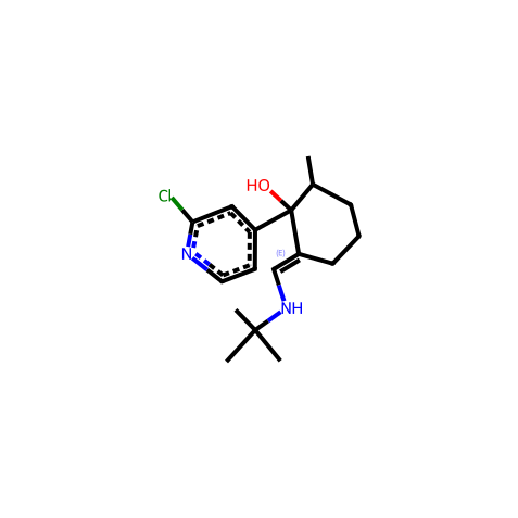 CC1CCC/C(=C\NC(C)(C)C)C1(O)c1ccnc(Cl)c1